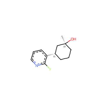 C[C@]1(O)CCC[C@H](c2cccnc2F)C1